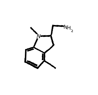 Cc1cccc2c1CC(CN)N2C